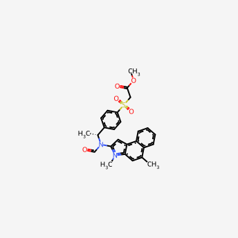 COC(=O)CS(=O)(=O)c1ccc([C@@H](C)N(C=O)c2cc3c4ccccc4c(C)cc3n2C)cc1